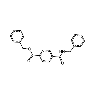 O=C(NCc1ccccc1)c1ccc(C(=O)OCc2ccccc2)cc1